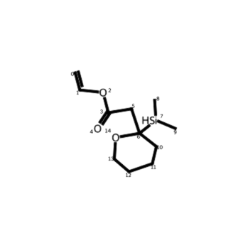 C=COC(=O)CC1([SiH](C)C)CCCCO1